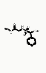 CCCCCCCCCCC(c1ccccc1)S(=O)(=O)NCC(=O)NO